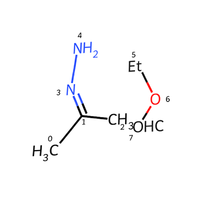 CC(C)=NN.CCOC=O